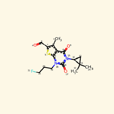 Cc1c(C=O)sc2c1c(=O)n(C1CC1(C)C)c(=O)n2CCCF